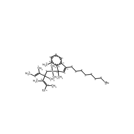 C/C=C(\C)C(C)(CS(C)(C)C1(C)C=C(CCCCCCCC(C)(C)C)c2cccc(C)c21)/C(C)=C(\C)CC